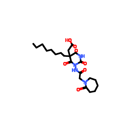 CCCCCCCCC1(CC(=O)O)C(=O)NC(=O)N(NC(=O)CN2CCCCCC2=O)C1=O